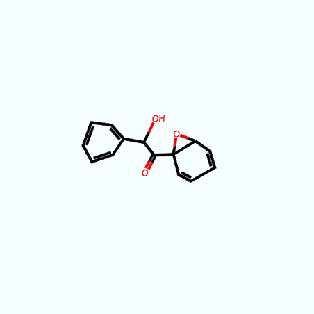 O=C(C(O)c1ccccc1)C12C=CC=CC1O2